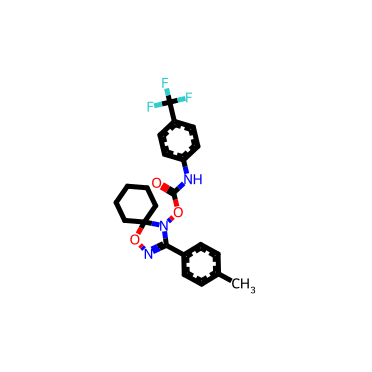 Cc1ccc(C2=NOC3(CCCCC3)N2OC(=O)Nc2ccc(C(F)(F)F)cc2)cc1